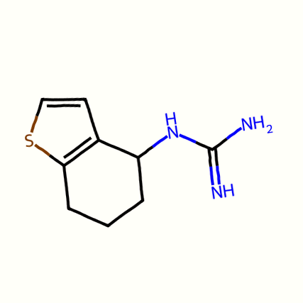 N=C(N)NC1CCCc2sccc21